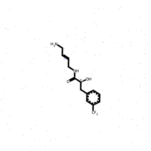 NC/C=C/CNC(=O)[C@@H](O)Cc1cccc(C(F)(F)F)c1